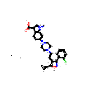 Cn1cc(C(=O)O)c2ccc(N3CCN(CCc4c(-c5ccccc5Cl)noc4C4CC4)CC3)cc21